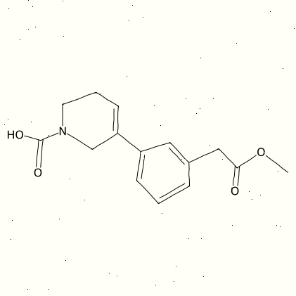 COC(=O)Cc1cccc(C2=CCCN(C(=O)O)C2)c1